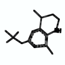 Cc1cc(CC(C)(C)C)cc2c1NCCC2C